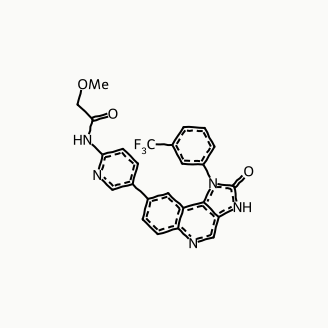 COCC(=O)Nc1ccc(-c2ccc3ncc4[nH]c(=O)n(-c5cccc(C(F)(F)F)c5)c4c3c2)cn1